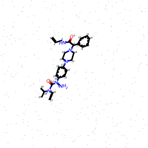 C=CCNC(=O)C(c1ccccc1)N1CCN(c2ccc(N(N)C(=O)N(C=C)C(C)C)cc2)CC1